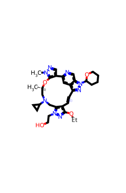 CCOc1nn(CCO)c2c1/C=C/c1nn(C3CCCCO3)c3cnc(cc13)-c1cnn(C)c1O[C@@H](C)CN(C1CC1)C2